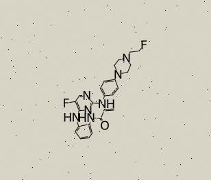 C=CC(=O)Nc1ccccc1Nc1nc(Nc2ccc(N3CCN(CCF)CC3)cc2)ncc1F